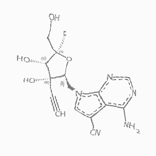 C#C[C@]1(O)[C@H](n2cc(C#N)c3c(N)ncnc32)O[C@](F)(CO)[C@H]1O